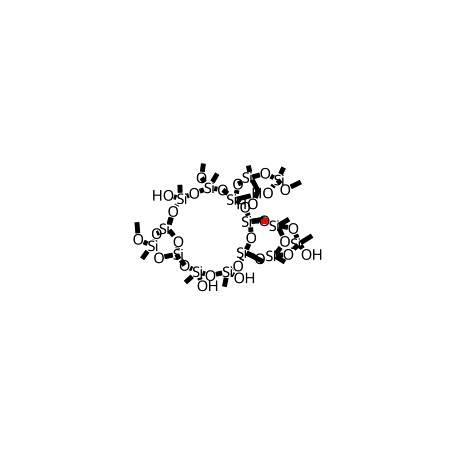 CO[Si](C)(O)O[Si](C)(CO)O[Si]1(C)O[Si](C)(OC)O[Si](C)(O)O[Si]2(C)O[Si](C)(OC)O[Si](C)(O[Si](C)(O)O[Si](C)(O)O[Si]3(C)O[Si]4(C)O[Si](C)(O)O[Si](C)(O4)O[Si](C)(O3)O1)O2